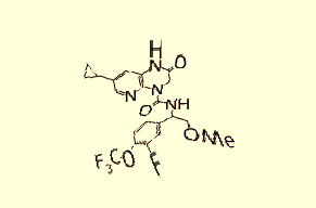 COCC(NC(=O)N1CC(=O)Nc2cc(C3CC3)cnc21)c1ccc(OC(F)(F)F)c(F)c1